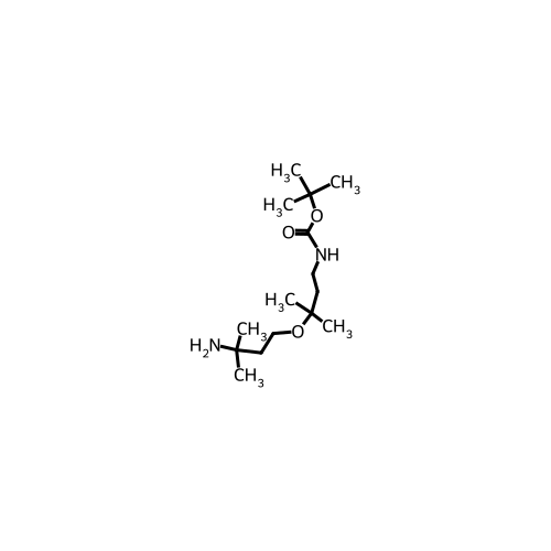 CC(C)(N)CCOC(C)(C)CCNC(=O)OC(C)(C)C